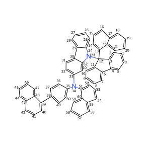 c1ccc2c(c1)-c1ccccc1C2(c1cccc2ccccc12)n1c2ccccc2c2ccc(N(c3ccc(-c4cccc5ccccc45)cc3)c3cccc4ccccc34)cc21